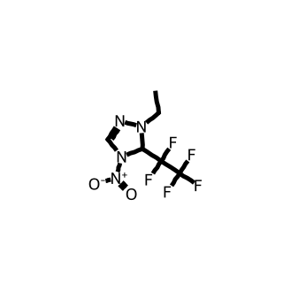 CCN1N=CN([N+](=O)[O-])C1C(F)(F)C(F)(F)F